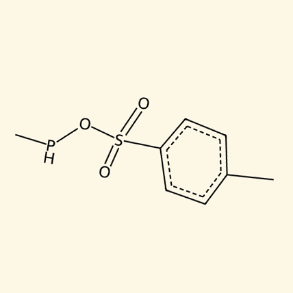 CPOS(=O)(=O)c1ccc(C)cc1